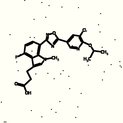 CC(C)Oc1ncc(-c2nc(-c3ccc(F)c4c(CCC(=O)O)cn(C)c34)no2)cc1Cl